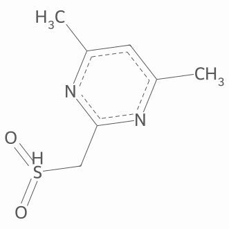 Cc1cc(C)nc(C[SH](=O)=O)n1